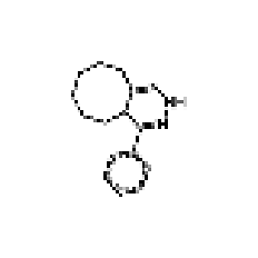 C1=C2CCCCCCC2C(c2ccccc2)=NN1